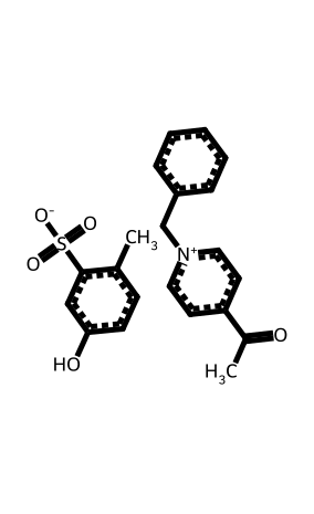 CC(=O)c1cc[n+](Cc2ccccc2)cc1.Cc1ccc(O)cc1S(=O)(=O)[O-]